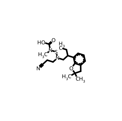 CCC(CN(CCC#N)SN(C)C(=O)O)c1cccc2c1OC(C)(C)C2